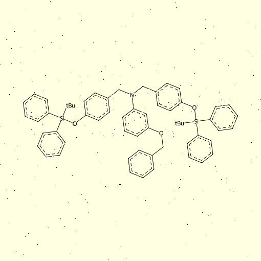 CC(C)(C)[Si](Oc1ccc(CN(Cc2ccc(O[Si](c3ccccc3)(c3ccccc3)C(C)(C)C)cc2)c2cccc(OCc3ccccc3)c2)cc1)(c1ccccc1)c1ccccc1